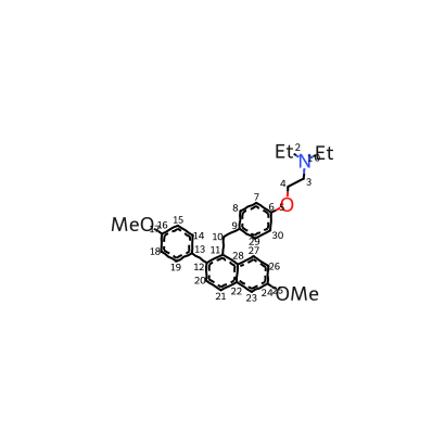 CCN(CC)CCOc1ccc(Cc2c(-c3ccc(OC)cc3)ccc3cc(OC)ccc23)cc1